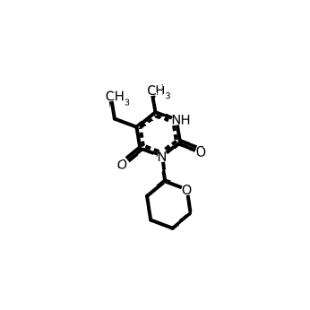 CCc1c(C)[nH]c(=O)n(C2CCCCO2)c1=O